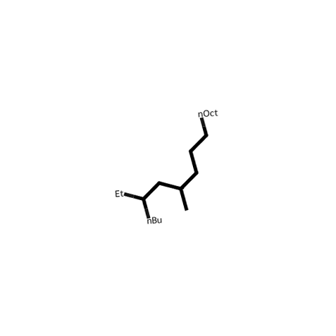 CCCCCCCCCCC[C](C)CC(CC)CCCC